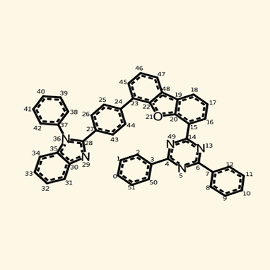 c1ccc(-c2nc(-c3ccccc3)nc(-c3cccc4c3oc3c(-c5ccc(-c6nc7ccccc7n6-c6ccccc6)cc5)cccc34)n2)cc1